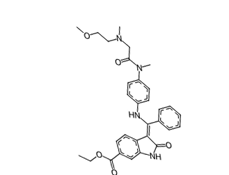 CCOC(=O)c1ccc2c(c1)NC(=O)C2=C(Nc1ccc(N(C)C(=O)CN(C)CCOC)cc1)c1ccccc1